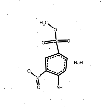 COS(=O)(=O)c1ccc(S)c([N+](=O)[O-])c1.[NaH]